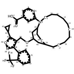 O=C(O)c1ccnc(N2CCCCCCCCCCC3CCC2CC(OCc2c(-c4ccccc4C(F)(F)F)noc2C2CC2)C3)c1